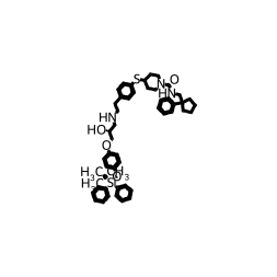 CC(C)(C)[Si](Oc1ccc(OC[C@@H](O)CNCCc2ccc(SC3CCN(C(=O)NCC4(c5ccccc5)CCCC4)CC3)cc2)cc1)(c1ccccc1)c1ccccc1